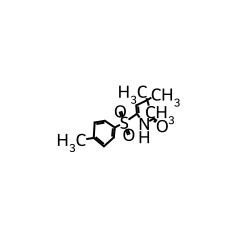 Cc1ccc(S(=O)(=O)C(=CC(C)(C)C)NC=O)cc1